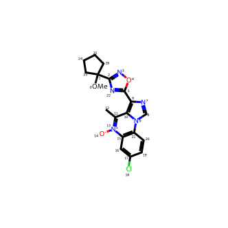 COC1(c2noc(-c3ncn4c3c(C)[n+]([O-])c3cc(Cl)ccc34)n2)CCCC1